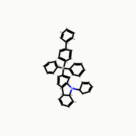 C1=CCC(N2c3cc([Si](c4ccccc4)(c4ccccc4)c4ccc(-c5ccccc5)cc4)ccc3C3C=CC=CC32)C=C1